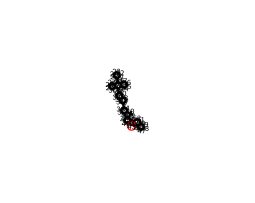 CC1(C)c2cc(-c3ccc4cc(-c5c6ccccc6c(-c6ccccc6)c6ccccc56)ccc4c3)ccc2-c2ccc3oc4c5ccccc5ccc4c3c21